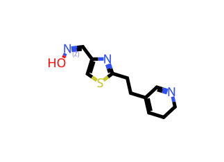 O/N=C\c1csc(CCC2=CCCN=C2)n1